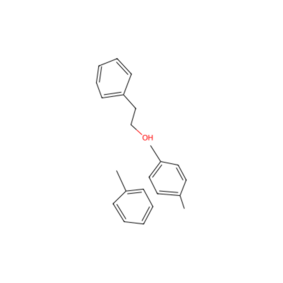 Cc1ccc(C)cc1.Cc1ccccc1.OCCc1ccccc1